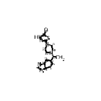 CC(c1ccc2scnc2c1)N1CCN(c2n[nH]c(=O)s2)CC1